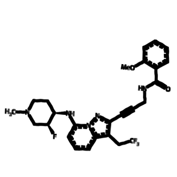 COc1ccccc1C(=O)NCC#Cc1nn2c(N[C@@H]3CCN(C)C[C@@H]3F)cccc2c1CC(F)(F)F